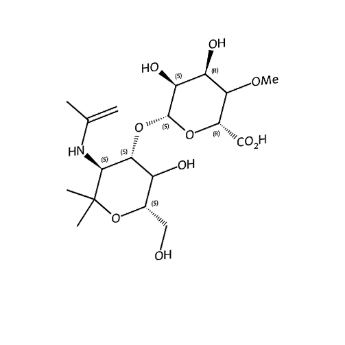 C=C(C)N[C@H]1[C@H](O[C@H]2O[C@@H](C(=O)O)C(OC)[C@H](O)[C@@H]2O)C(O)[C@H](CO)OC1(C)C